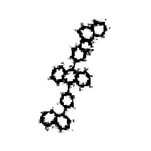 c1ccc2c(-c3ccc(-c4c5ccccc5c(-c5ccc6c(c5)sc5c7ccccc7ccc65)c5ccccc45)cc3)cccc2c1